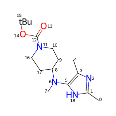 Cc1nc(C)c(N(C)C2CCN(C(=O)OC(C)(C)C)CC2)[nH]1